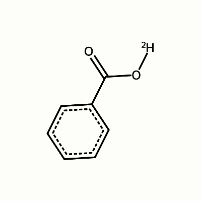 [2H]OC(=O)c1ccccc1